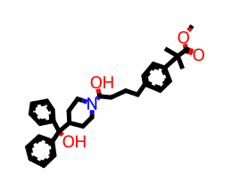 COC(=O)C(C)(C)c1ccc(CCCC(O)N2CCC(C(O)(c3ccccc3)c3ccccc3)CC2)cc1